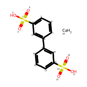 O=S(=O)(O)c1cccc(-c2cccc(S(=O)(=O)O)c2)c1.[CaH2]